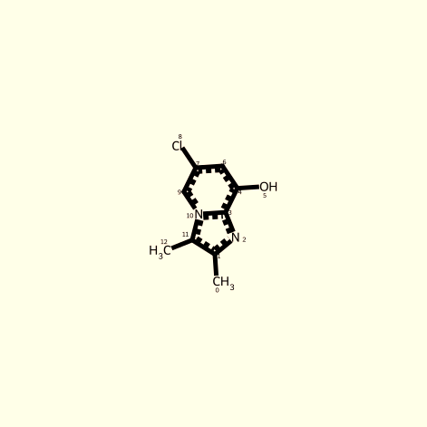 Cc1nc2c(O)cc(Cl)cn2c1C